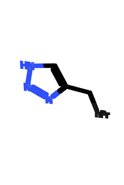 [CH2]CCCc1c[nH]nn1